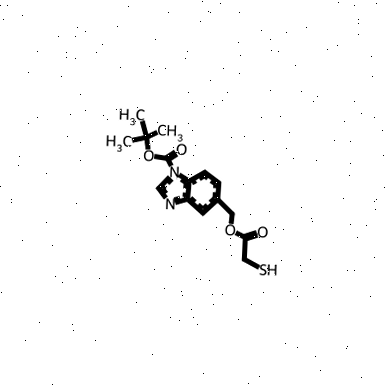 CC(C)(C)OC(=O)n1cnc2cc(COC(=O)CS)ccc21